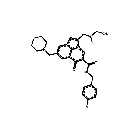 CC[S+]([O-])Cc1cc2cc(CN3CCOCC3)cc3c(=O)c(C(=O)NCc4ccc(Cl)cc4)cn1c23